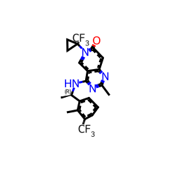 Cc1nc(N[C@H](C)c2cccc(C(F)(F)F)c2C)c2cn(C3(C(F)(F)F)CC3)c(=O)cc2n1